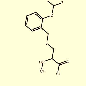 CCNC(CSCc1ccccc1OC(F)F)C(=O)CC